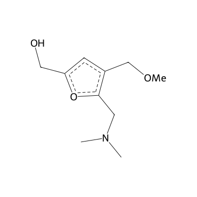 COCc1cc(CO)oc1CN(C)C